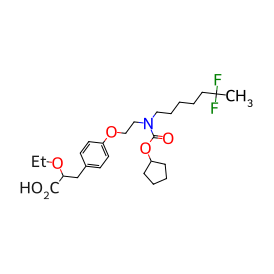 CCOC(Cc1ccc(OCCN(CCCCCC(C)(F)F)C(=O)OC2CCCC2)cc1)C(=O)O